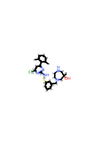 Cc1cccc(C)c1-c1cc(Cl)nc(NSc2cccc(CN3CCNCC(C)(O)C3)c2)n1